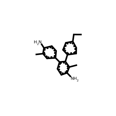 CCc1ccc(-c2c(-c3ccc(N)c(C)c3)ccc(N)c2C)cc1